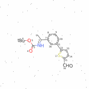 CC(NC(=O)OC(C)(C)C)c1cccc(-c2ccc(C=O)s2)c1